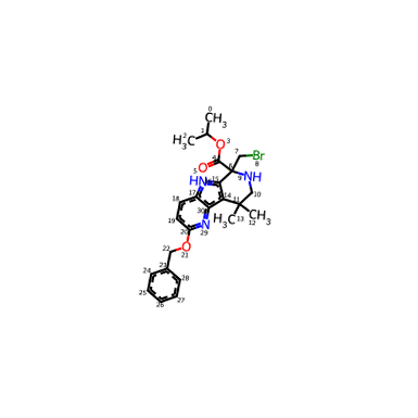 CC(C)OC(=O)C1(CBr)NCC(C)(C)c2c1[nH]c1ccc(OCc3ccccc3)nc21